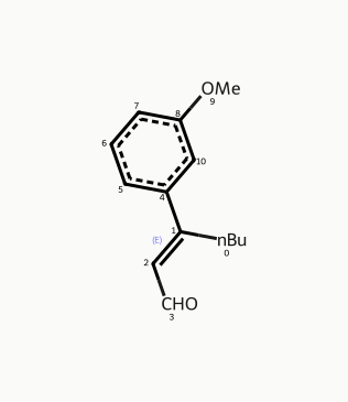 CCCC/C(=C\C=O)c1cccc(OC)c1